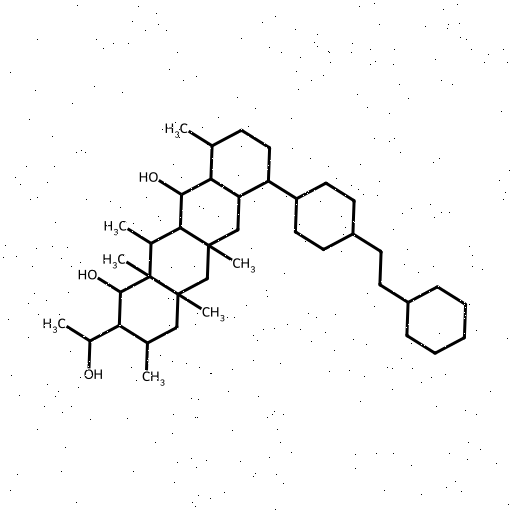 CC(O)C1C(C)CC2(C)CC3(C)CC4C(C5CCC(CCC6CCCCC6)CC5)CCC(C)C4C(O)C3C(C)C2(C)C1O